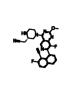 C#Cc1c(F)ccc2cccc(-c3ncc4c(N5CCN[C@@H](CC#N)C5)nc(OC)nc4c3F)c12